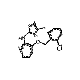 Cc1csc(Nc2ncccc2OCc2ccccc2Cl)n1